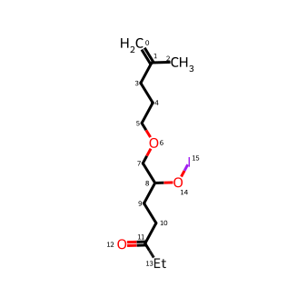 C=C(C)CCCOCC(CCC(=O)CC)OI